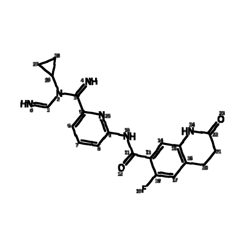 N=CN(C(=N)c1cccc(NC(=O)c2cc3c(cc2F)CCC(=O)N3)n1)C1CC1